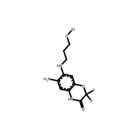 CCOCCCNc1cc2c(cc1N)NC(=O)C(F)(F)O2